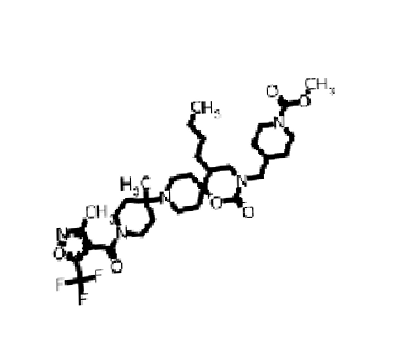 CCCCC1CN(CC2CCN(C(=O)OC)CC2)C(=O)OC12CCN(C1(C)CCN(C(=O)c3c(C)noc3C(F)(F)F)CC1)CC2